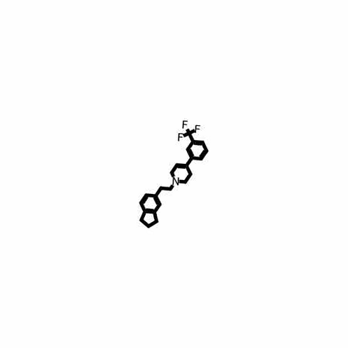 FC(F)(F)c1cccc(C2=CCN(CCc3ccc4c(c3)CCC4)CC2)c1